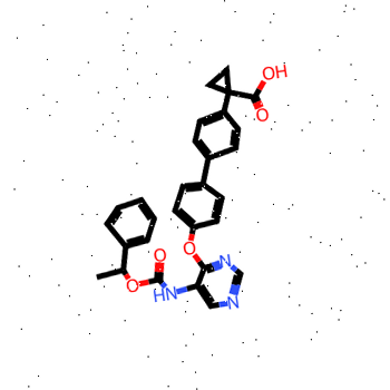 CC(OC(=O)Nc1cncnc1Oc1ccc(-c2ccc(C3(C(=O)O)CC3)cc2)cc1)c1ccccc1